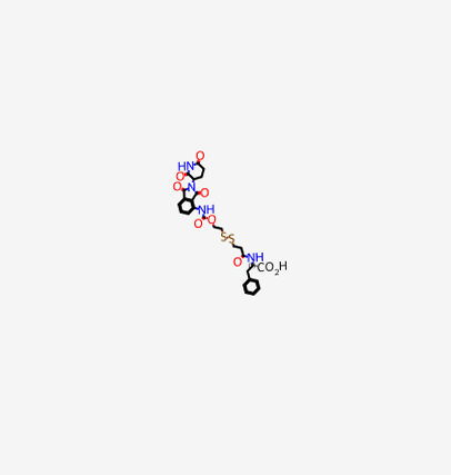 O=C1CCC(N2C(=O)c3cccc(NC(=O)OCCSSCCC(=O)N[C@@H](Cc4ccccc4)C(=O)O)c3C2=O)C(=O)N1